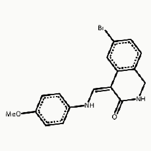 COc1ccc(N/C=C2\C(=O)NCc3ccc(Br)cc32)cc1